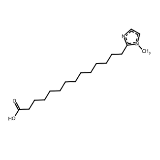 Cn1ccnc1CCCCCCCCCCCCCC(=O)O